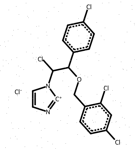 Clc1ccc(C(OCc2ccc(Cl)cc2Cl)C(Cl)N2[C+]=NC=C2)cc1.[Cl-]